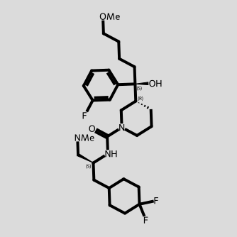 CNC[C@H](CC1CCC(F)(F)CC1)NC(=O)N1CCC[C@@H]([C@@](O)(CCCCOC)c2cccc(F)c2)C1